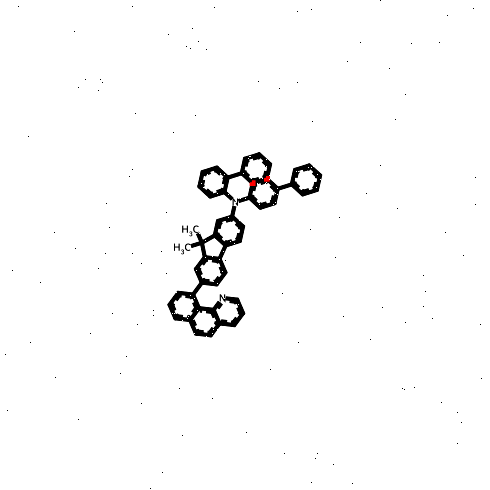 CC1(C)c2cc(-c3cccc4ccc5cccnc5c34)ccc2-c2ccc(N(c3ccc(-c4ccccc4)cc3)c3ccccc3-c3ccccc3)cc21